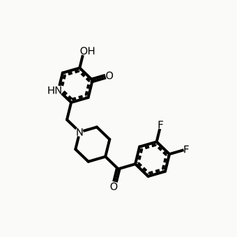 O=C(c1ccc(F)c(F)c1)C1CCN(Cc2cc(=O)c(O)c[nH]2)CC1